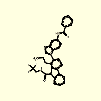 CCCc1c(-n2cnc3cc(NC(=O)c4ccccc4)ccc32)ccc2c1C(C(=O)NCC(F)(F)F)c1ccccc1-2